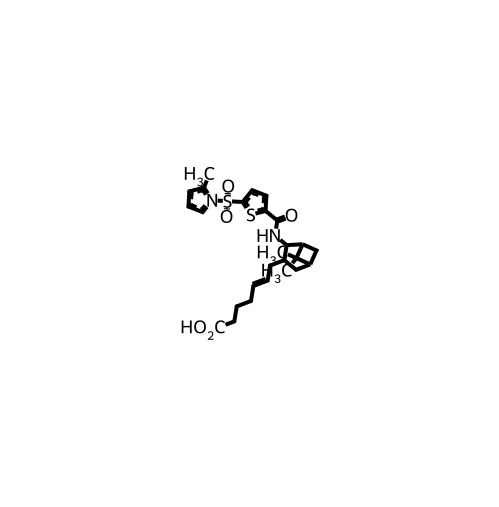 Cc1cccn1S(=O)(=O)c1ccc(C(=O)NC2C(CC=CCCCC(=O)O)CC3CC2C3(C)C)s1